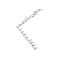 [Ca+2].[Ca+2].[Fe+3].[Fe+3].[Ni+2].[Ni+2].[O-2].[O-2].[O-2].[O-2].[O-2].[O-2].[O-2].[O-2].[O-2].[Sr+2].[Sr+2]